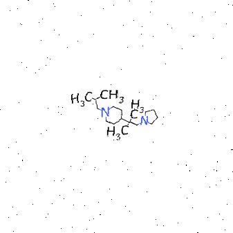 CC(C)CN1CCC(C(C)(C)CN2CCCC2)CC1